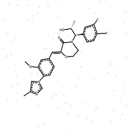 COc1cc(/C=C2\OCCN([C@H](c3ccc(F)c(F)c3)[C@@H](C)O)C2=O)ccc1-n1cnc(C)c1